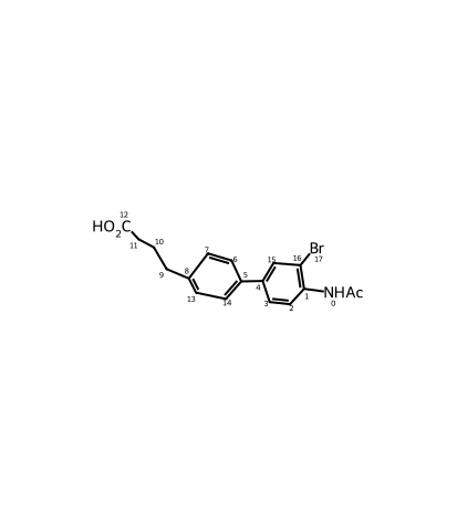 CC(=O)Nc1ccc(-c2ccc(CCCC(=O)O)cc2)cc1Br